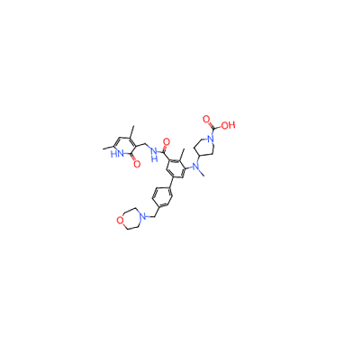 Cc1cc(C)c(CNC(=O)c2cc(-c3ccc(CN4CCOCC4)cc3)cc(N(C)C3CCN(C(=O)O)CC3)c2C)c(=O)[nH]1